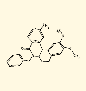 COc1cc2c(cc1OC)C1c3cc(C)ccc3C(=O)N(Cc3ccccc3)C1CC2